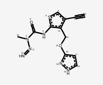 C#Cc1csc(NC(=O)N(C)N=N)c1COc1cc[nH]n1